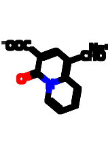 O=Cc1cc(C(=O)[O-])c(=O)n2ccccc12.[Na+]